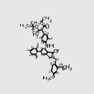 COC(=O)C(C(=O)OC(C)(C)C)c1ccc(Nc2cc(-c3c(F)cccc3F)nc3c2C(=O)N(Cc2ccc(OC)cc2OC)C3)nc1